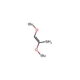 CC(C)(C)OC=C([SiH3])OC(C)(C)C